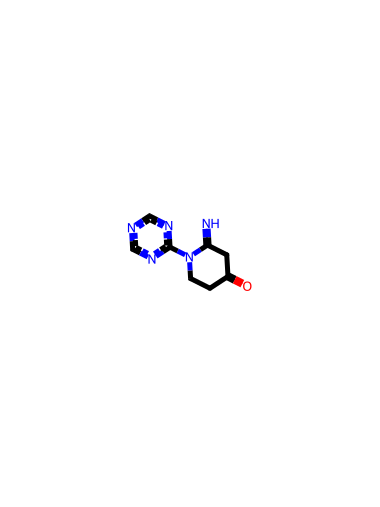 N=C1CC(=O)CCN1c1ncncn1